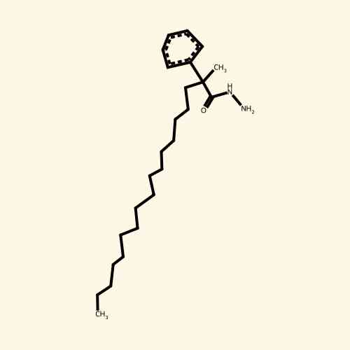 CCCCCCCCCCCCCCCCC(C)(C(=O)NN)c1ccccc1